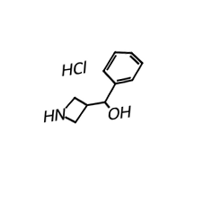 Cl.OC(c1ccccc1)C1CNC1